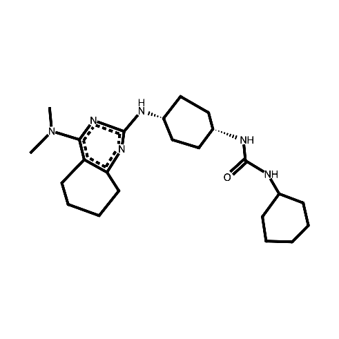 CN(C)c1nc(N[C@H]2CC[C@@H](NC(=O)NC3CCCCC3)CC2)nc2c1CCCC2